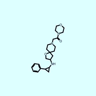 O=C(CN1CCC2(CC1)CC(NC1CC1c1ccccc1)CO2)N1CCOCC1